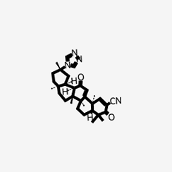 CC1(C)C(=O)C(C#N)=C[C@]2(C)C3=CC(=O)[C@@H]4[C@@H]5C[C@@](C)(n6cnnc6)CC[C@]5(C)CC[C@@]4(C)[C@]3(C)CC[C@@H]12